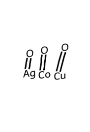 [O]=[Ag].[O]=[Co].[O]=[Cu]